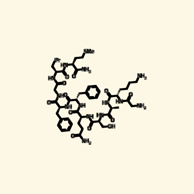 CSCC[C@H](NC(=O)[C@H](CC(C)C)NC(=O)CNC(=O)[C@H](Cc1ccccc1)NC(=O)[C@H](Cc1ccccc1)NC(=O)[C@H](CCC(N)=O)NC(=O)[C@H](CO)NC(=O)[C@H](C)NC(=O)[C@H](CCCCN)NC(=O)CN)C(N)=O